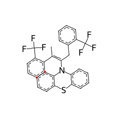 C/C(=C(\Cc1ccccc1C(F)(F)F)N1c2ccccc2Sc2ccccc21)c1ccccc1C(F)(F)F